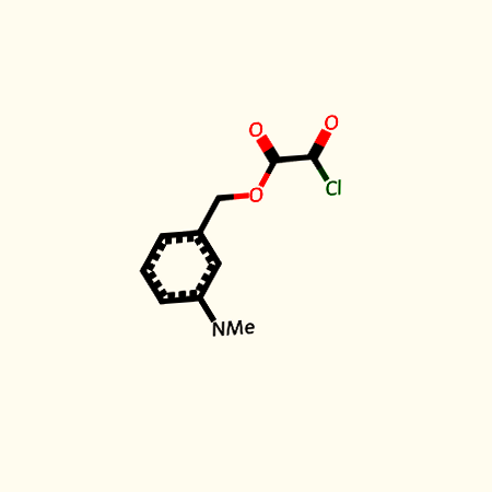 CNc1cccc(COC(=O)C(=O)Cl)c1